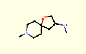 CNC1COC2(CCN(C)CC2)C1